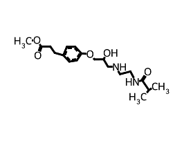 COC(=O)CCc1ccc(OCC(O)CNCCNC(=O)C(C)C)cc1